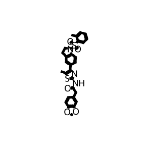 Cc1ccccc1S(=O)(=O)N1CCc2cc(-c3nc(NC(=O)Cc4ccc5c(c4)OCO5)sc3C)ccc21